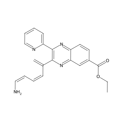 C=C(/C=C\C=C/N)c1nc2cc(C(=O)OCC)ccc2nc1-c1ccccn1